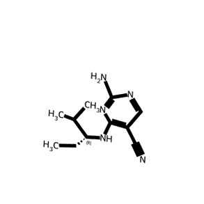 CC[C@@H](Nc1nc(N)ncc1C#N)C(C)C